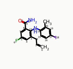 C=CCc1cc(F)cc(C(N)=O)c1Nc1ccc(I)cc1C